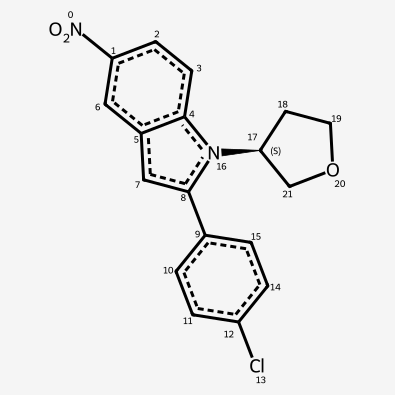 O=[N+]([O-])c1ccc2c(c1)cc(-c1ccc(Cl)cc1)n2[C@H]1CCOC1